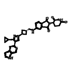 O=C1CCC(N2C(=O)c3ccc(NC[C@H]4C[C@H](n5cc(-c6cc7cc[nH]c7cn6)c(C6CC6)n5)C4)cc3C2=O)C(=O)N1